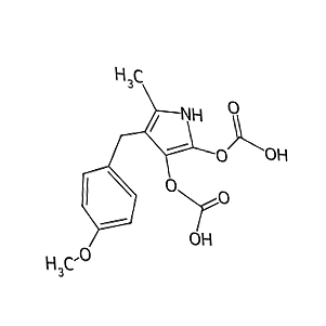 COc1ccc(Cc2c(C)[nH]c(OC(=O)O)c2OC(=O)O)cc1